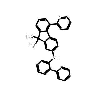 CC1(C)c2cc(Nc3ccccc3-c3ccccc3)ccc2-c2c(-c3ccccn3)cccc21